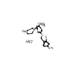 COc1cc(OCc2ccc(C#N)cc2F)nc(N2CCNCC2)c1.Cl